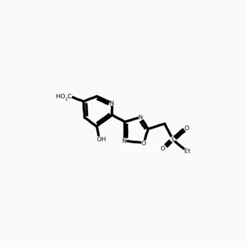 CCS(=O)(=O)Cc1nc(-c2ncc(C(=O)O)cc2O)no1